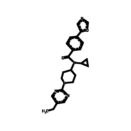 CCc1cnc(N2CCC(N(C(=O)c3ccc(-c4cnco4)cc3)C3CC3)CC2)nc1